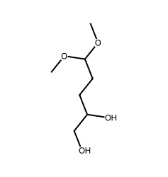 COC(CCC(O)CO)OC